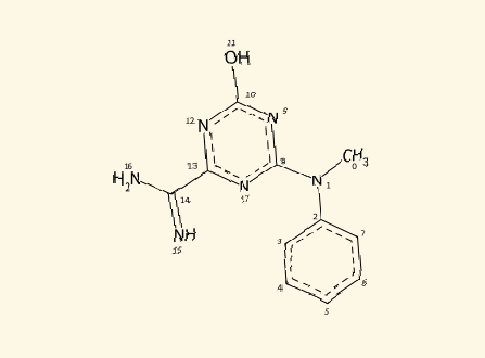 CN(c1ccccc1)c1nc(O)nc(C(=N)N)n1